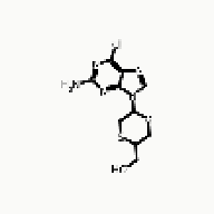 Nc1nc(Cl)c2ncn(C3CSC(CO)CO3)c2n1